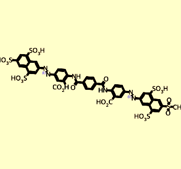 CS(=O)(=O)c1cc(S(=O)(=O)O)c2cc(/N=N/c3ccc(NC(=O)c4ccc(C(=O)Nc5ccc(/N=N/c6cc(S(=O)(=O)O)c7cc(S(=O)(=O)O)cc(S(=O)(=O)O)c7c6)cc5C(=O)O)cc4)c(C(=O)O)c3)cc(S(=O)(=O)O)c2c1